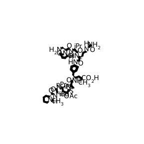 CCCN(C(=O)[C@@H](NC(=O)[C@H]1CCCCN1C)[C@@H](C)CC)[C@H](C[C@@H](OC(C)=O)c1nc(C(=O)N[C@@H](Cc2ccc(NC(=O)[C@H](CCCNC(N)=O)NC(=O)[C@@H](NC(=O)[C@H](CN)N3C(=O)C=CC3=O)C(C)C)cc2)C[C@H](C)C(=O)O)cs1)C(C)C